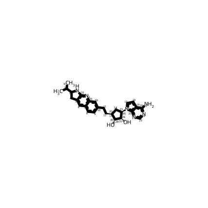 CC(C)C1Cc2cc3ccc(CC[C@H]4C[C@@H](n5ccc6c(N)ncnc65)[C@H](O)[C@@H]4O)cc3nc2N1